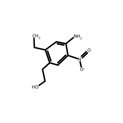 CCc1cc(N)c([N+](=O)[O-])cc1CCO